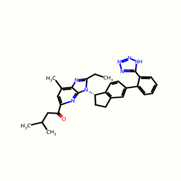 CCc1nc2c(C)cc(C(=O)CC(C)C)nc2n1[C@H]1CCc2cc(-c3ccccc3-c3nnn[nH]3)ccc21